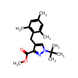 COC(=O)c1nn(C(C)(C)C)cc1Cc1c(C)cc(C)cc1C